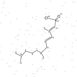 CC(/C=C/CC(C)CCCC(C)C)=C\C(=O)Cl